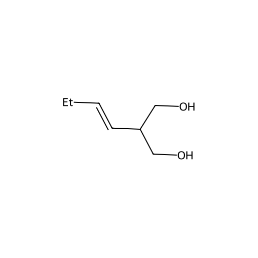 CCC=CC(CO)CO